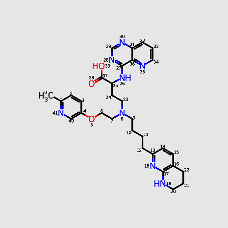 Cc1ccc(OCCN(CCCCc2ccc3c(n2)NCCC3)CCC(Nc2ncnc3cccnc23)C(=O)O)cn1